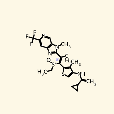 C=C(Nc1csc(/C(=C(\C)c2nc3cc(C(F)(F)F)ncc3n2C)[S+]([O-])CC)c1C)C1CC1